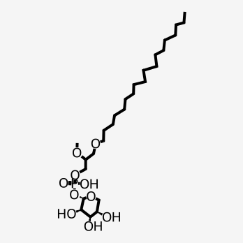 CCCCCCCCCCCCCCCCCCOCC(COP(=O)(O)O[C@@H]1OC[C@@H](O)[C@@H](O)[C@H]1O)OC